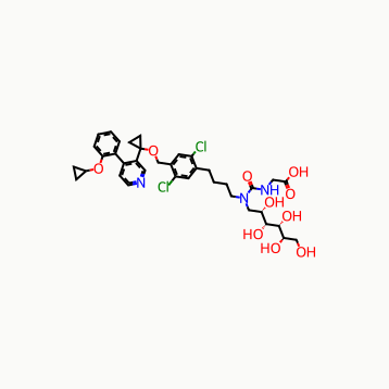 O=C(O)CNC(=O)N(CCCCc1cc(Cl)c(COC2(c3cnccc3-c3ccccc3OC3CC3)CC2)cc1Cl)C[C@H](O)[C@@H](O)[C@H](O)[C@H](O)CO